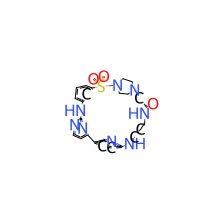 O=C1CN2CCN(CC2)S(=O)(=O)c2cccc(c2)Nc2nccc(n2)-c2ccc(nc2)NCCCN1